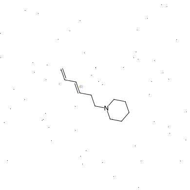 [CH]=C/C=C/CCN1CCCCC1